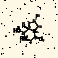 O=C1CNC(O)[C@@H]2C[C@H](F)CN12